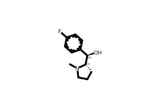 CN1CCC[C@H]1[C@H](O)c1ccc(F)cc1